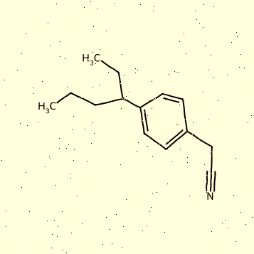 CCCC(CC)c1ccc(CC#N)cc1